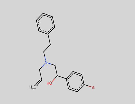 C=CCN(CCc1ccccc1)CC(O)c1ccc(Br)cc1